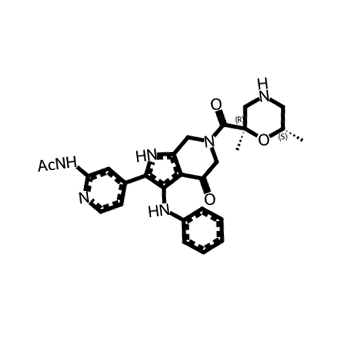 CC(=O)Nc1cc(-c2[nH]c3c(c2Nc2ccccc2)C(=O)CN(C(=O)[C@@]2(C)CNC[C@H](C)O2)C3)ccn1